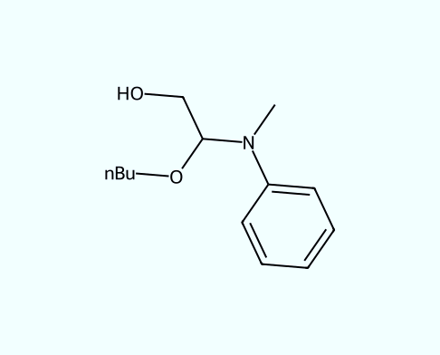 CCCCOC(CO)N(C)c1ccccc1